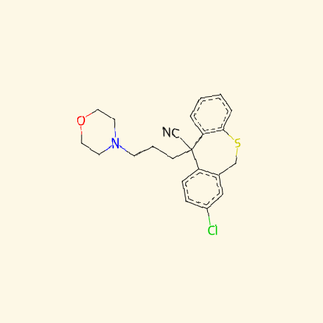 N#CC1(CCCN2CCOCC2)c2ccc(Cl)cc2CSc2ccccc21